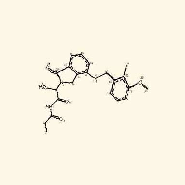 CCC(=O)NC(=O)C(O)N1Cc2c(NCc3cccc(OC)c3F)cccc2C1=O